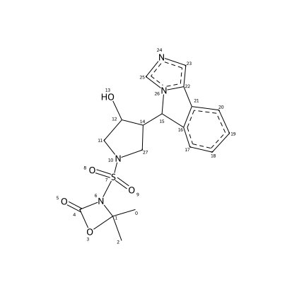 CC1(C)OC(=O)N1S(=O)(=O)N1CC(O)C(C2c3ccccc3-c3cncn32)C1